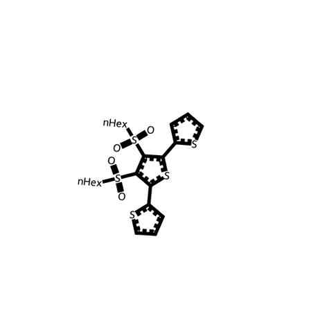 CCCCCCS(=O)(=O)c1c(-c2cccs2)sc(-c2cccs2)c1S(=O)(=O)CCCCCC